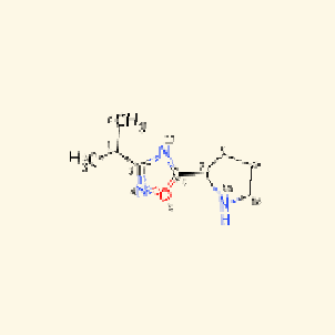 CC(C)c1noc([C@H]2CCCN2)n1